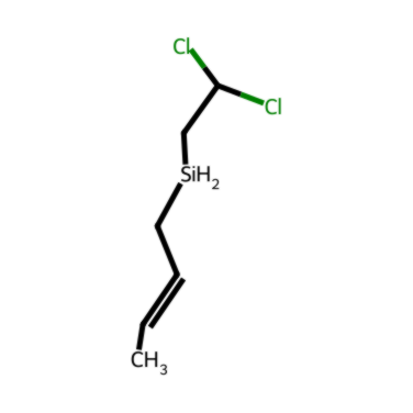 CC=CC[SiH2]CC(Cl)Cl